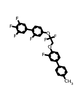 Cc1ccc(-c2ccc(OCC(F)(F)Oc3ccc(-c4cc(F)c(F)c(F)c4)c(F)c3)c(F)c2)cc1